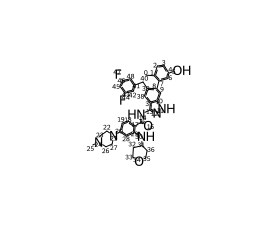 Cc1ccc(O)cc1-c1cc2[nH]nc(NC(=O)c3ccc(N4CCN(C)CC4)cc3NC3CCOCC3)c2cc1Cc1cc(F)cc(F)c1